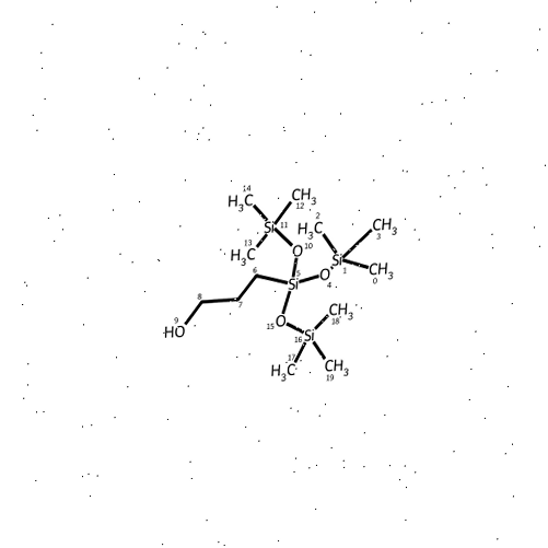 C[Si](C)(C)O[Si](CCCO)(O[Si](C)(C)C)O[Si](C)(C)C